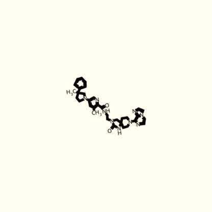 Cc1cc(N2CCC(C)(c3ccccc3)C2)cnc1C(=O)NCCN1CC2(CCN(c3nccn4ccnc34)CC2)NC1=O